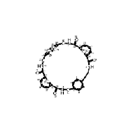 O=C1NCc2ccc(cc2)CNC(=O)c2cccc(c2)C(=O)NCc2ccc(cc2)CNC(=O)c2cccc1c2